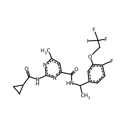 Cc1cc(C(=O)NC(C)c2ccc(F)c(OCC(F)(F)I)c2)nc(NC(=O)C2CC2)n1